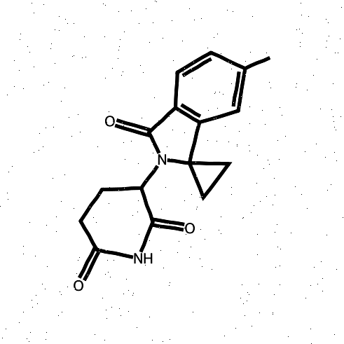 Cc1ccc2c(c1)C1(CC1)N(C1CCC(=O)NC1=O)C2=O